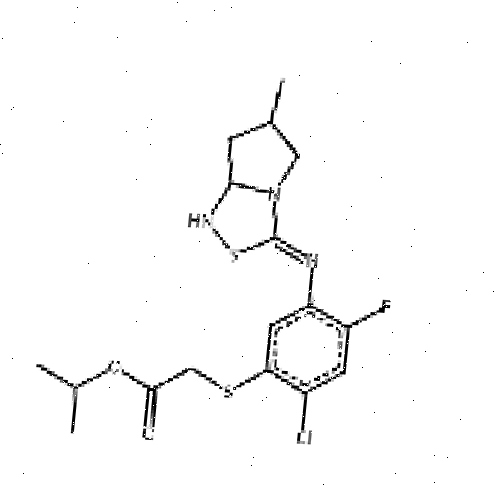 CC1CC2NSC(=Nc3cc(SCC(=O)OC(C)C)c(Cl)cc3F)N2C1